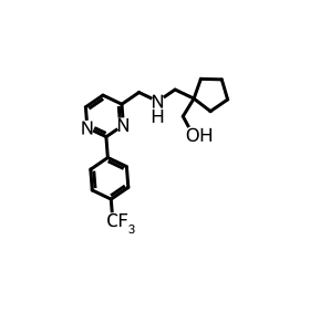 OCC1(CNCc2ccnc(-c3ccc(C(F)(F)F)cc3)n2)CCCC1